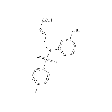 Cc1ccc(S(=O)(=O)N(C/C=C/C(=O)O)c2cccc(C=O)c2)cc1